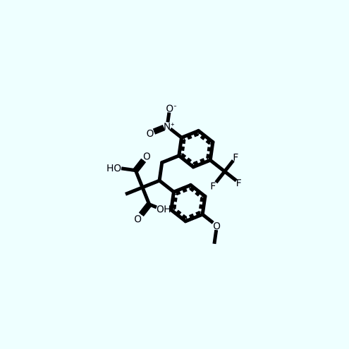 COc1ccc(C(Cc2cc(C(F)(F)F)ccc2[N+](=O)[O-])C(C)(C(=O)O)C(=O)O)cc1